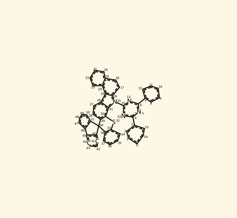 c1ccc(-c2nc(-c3ccccc3)nc(-n3c4ccc5ccccc5c4c4ccc5c(c43)Sc3ccccc3C53c4ccccc4-c4ccccc43)n2)cc1